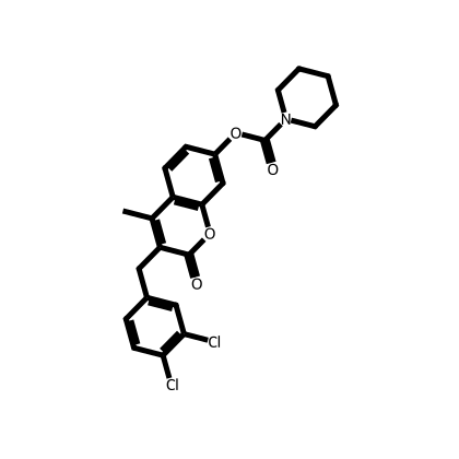 Cc1c(Cc2ccc(Cl)c(Cl)c2)c(=O)oc2cc(OC(=O)N3CCCCC3)ccc12